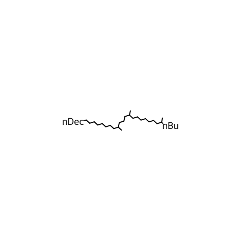 CCCCCCCCCCCCCCCCCCC(C)CCCC(C)CCCCCCCC(C)CCCC